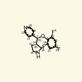 Fc1cc(F)c(O[C@H](c2ccncc2)[C@@H]2CCNC2)c(F)c1